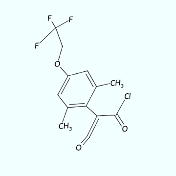 Cc1cc(OCC(F)(F)F)cc(C)c1C(=C=O)C(=O)Cl